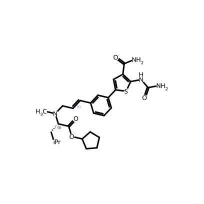 CC(C)C[C@@H](C(=O)OC1CCCC1)N(C)C/C=C/c1cccc(-c2cc(C(N)=O)c(NC(N)=O)s2)c1